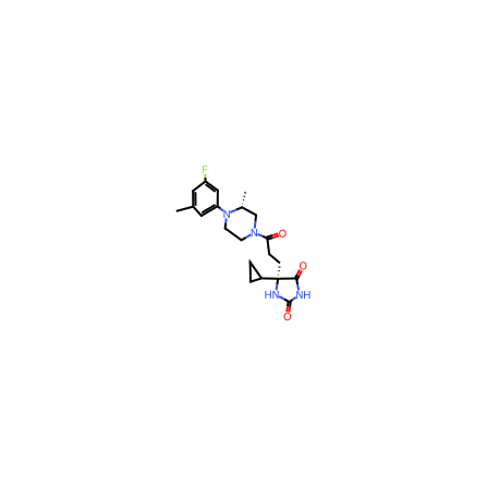 Cc1cc(F)cc(N2CCN(C(=O)CC[C@@]3(C4CC4)NC(=O)NC3=O)C[C@H]2C)c1